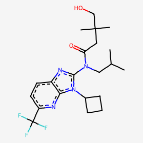 CC(C)CN(C(=O)CC(C)(C)CO)c1nc2ccc(C(F)(F)F)nc2n1C1CCC1